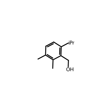 Cc1ccc(C(C)C)c(CO)c1C